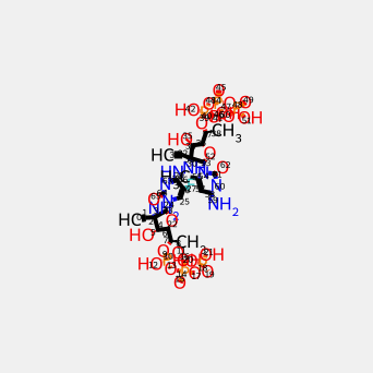 C#CC1(N)[C@@H](O)[C@@H]([C@@H](C)OP(=O)(O)OP(=O)(O)OP(=O)(O)O)O[C@H]1n1cc(F)c(NNC2(C#C)[C@@H](O)[C@@H]([C@H](C)OP(=O)(O)OP(=O)(O)OP(=O)(O)O)O[C@H]2n2c(C)cc(N)nc2=O)nc1=O